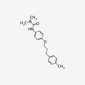 Cc1ccc(CCCOc2ccc(NC(=O)N(C)C)cc2)cc1